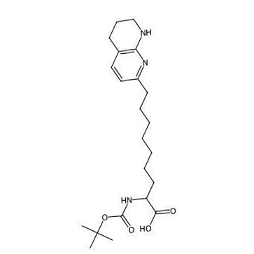 CC(C)(C)OC(=O)NC(CCCCCCCc1ccc2c(n1)NCCC2)C(=O)O